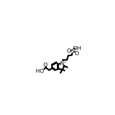 CC1=[N+](CCCCS(=O)(=O)O)c2ccc(CC(=O)O)cc2C1(C)C